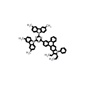 C=Cc1c(/C=C\C)n(-c2ccccc2)c2cc3c4ccccc4c4cc(-c5nc(-n6c7ccc(C)cc7c7cc(C)ccc76)nc(-n6c7ccc(C)cc7c7cc(C)ccc76)n5)ccc4c3cc12